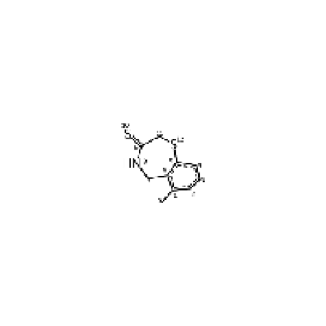 Cc1cccc2c1CNC(=S)CS2